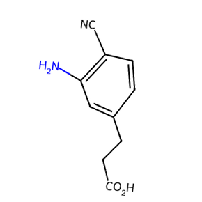 N#Cc1ccc(CCC(=O)O)cc1N